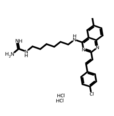 Cc1ccc2nc(/C=C/c3ccc(Cl)cc3)nc(NCCCCCCNC(=N)N)c2c1.Cl.Cl